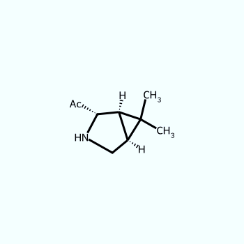 CC(=O)[C@H]1NC[C@H]2[C@@H]1C2(C)C